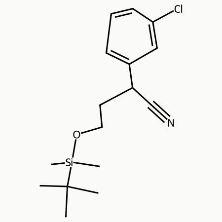 CC(C)(C)[Si](C)(C)OCCC(C#N)c1cccc(Cl)c1